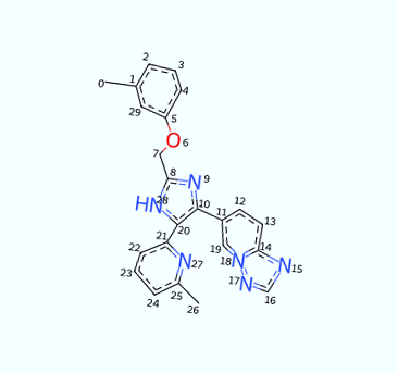 Cc1cccc(OCc2nc(-c3ccc4ncnn4c3)c(-c3cccc(C)n3)[nH]2)c1